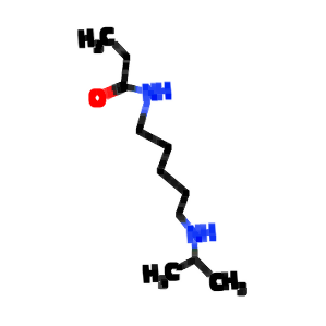 CCC(=O)NCCCCCNC(C)C